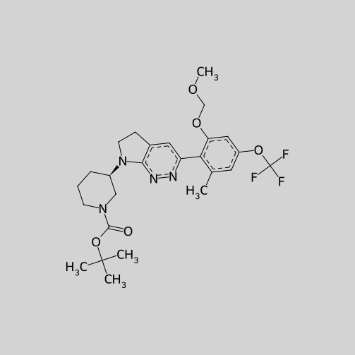 COCOc1cc(OC(F)(F)F)cc(C)c1-c1cc2c(nn1)N([C@@H]1CCCN(C(=O)OC(C)(C)C)C1)CC2